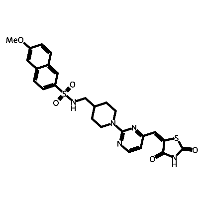 COc1ccc2cc(S(=O)(=O)NCC3CCN(c4nccc(C=C5SC(=O)NC5=O)n4)CC3)ccc2c1